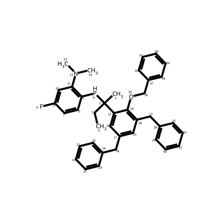 CCC(C)(Pc1ccc(F)cc1N(C)C)c1cc(Cc2ccccc2)cc(Cc2ccccc2)c1OCc1ccccc1